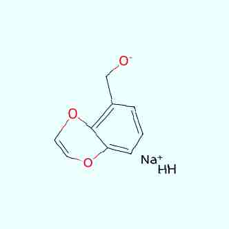 [HH].[Na+].[O-]Cc1cccc2c1OC=CO2